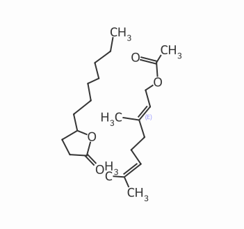 CC(=O)OC/C=C(\C)CCC=C(C)C.CCCCCCCC1CCC(=O)O1